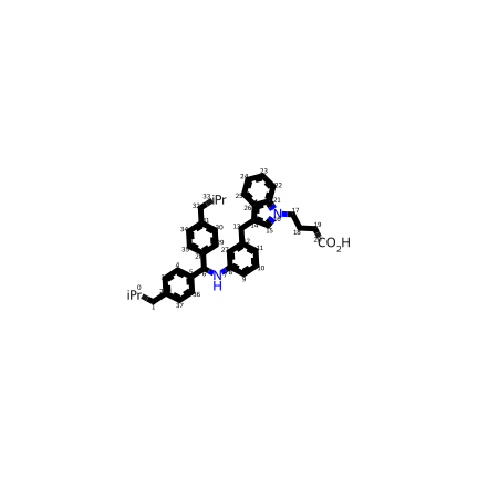 CC(C)Cc1ccc(C(Nc2cccc(Cc3cn(CCCC(=O)O)c4ccccc34)c2)c2ccc(CC(C)C)cc2)cc1